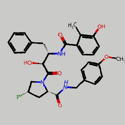 COc1ccc(CNC(=O)[C@@H]2C[C@H](F)CN2C(=O)[C@@H](O)[C@H](Cc2ccccc2)NC(=O)c2cccc(O)c2C)cc1